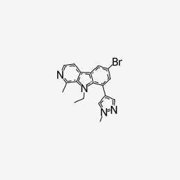 CCn1c2c(-c3cnn(C)c3)cc(Br)cc2c2ccnc(C)c21